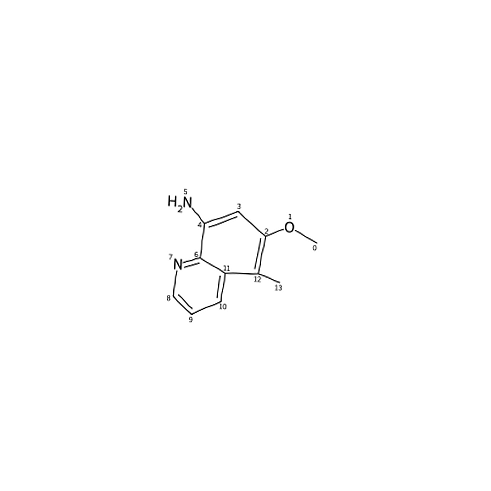 COc1cc(N)c2ncccc2c1C